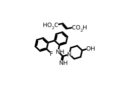 N=C(Nc1ccccc1-c1ccccc1F)N1CCC(O)CC1.O=C(O)/C=C/C(=O)O